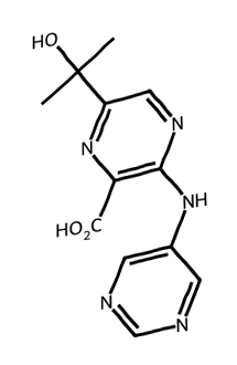 CC(C)(O)c1cnc(Nc2cncnc2)c(C(=O)O)n1